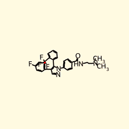 CN(C)CCNC(=O)c1ccc(-n2ncc(-c3ccc(F)cc3)c2-c2ccccc2C(F)(F)F)cc1